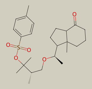 Cc1ccc(S(=O)(=O)OC(C)(C)[C@@H](C)CO[C@H](C)C2CCC3C(=O)CCCC32C)cc1